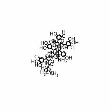 CN[C@H](CC(C)C)C(=O)N[C@@H](C(=O)N[C@@H](CC(N)=O)C(=O)N[C@@H](C(=O)NC(C(=O)N[C@H](C(=O)NC(C(=O)O)c1cc(O)cc(O)c1)c1cc(O)c(O)c(Cl)c1)c1ccc(O)cc1)c1cc(O)c(O)c(O)c1)[C@@H](O)c1cc(O)c(O)c(Cl)c1